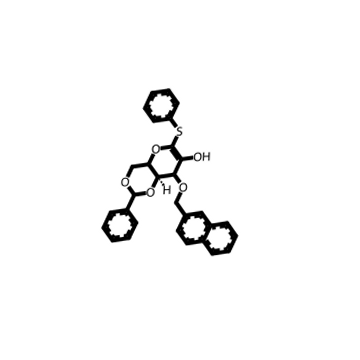 OC1=C(Sc2ccccc2)OC2COC(c3ccccc3)O[C@@H]2C1OCc1ccc2ccccc2c1